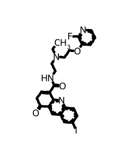 CCN(CCNC(=O)C1=CCC(=O)c2cc3cc(I)ccc3nc21)CCOc1cccnc1F